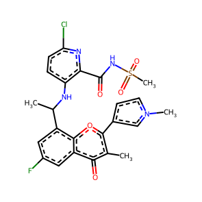 Cc1c(-c2ccn(C)c2)oc2c(C(C)Nc3ccc(Cl)nc3C(=O)NS(C)(=O)=O)cc(F)cc2c1=O